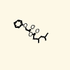 CC(C)CC(C)CC(=O)OC(=O)COc1ccccc1